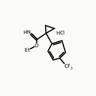 CCOC(=N)C1(c2ccc(C(F)(F)F)cc2)CC1.Cl